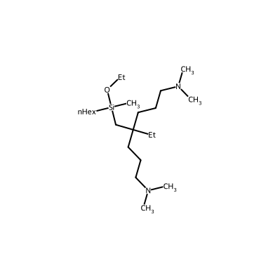 CCCCCC[Si](C)(CC(CC)(CCCN(C)C)CCCN(C)C)OCC